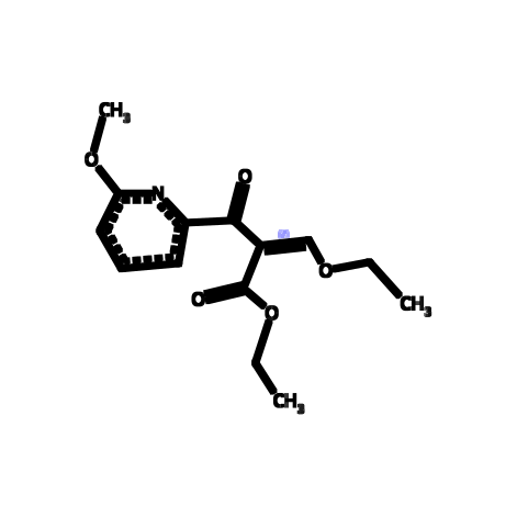 CCO/C=C(\C(=O)OCC)C(=O)c1cccc(OC)n1